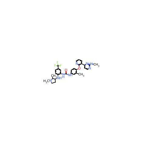 CNc1nccc(-c2cccnc2Oc2ccc(NC(=O)Nc3cc(C(F)(F)F)ccc3NC3CCN(C)C3C)cc2C)n1